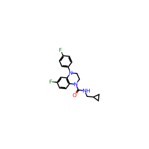 O=C(NCC1CC1)N1CCN(c2ccc(F)cc2)c2cc(F)ccc21